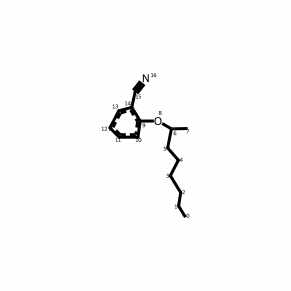 CCCCCCC(C)Oc1cc[c]cc1C#N